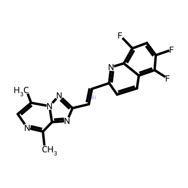 Cc1ncc(C)n2nc(/C=C/c3ccc4c(F)c(F)cc(F)c4n3)nc12